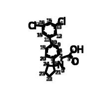 CN(CC(=O)O)C1(c2ccc(-c3cc(Cl)cc(Cl)c3)cc2)CCCC1